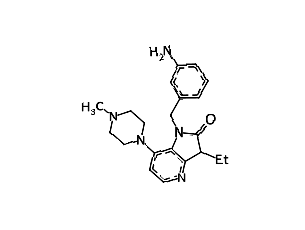 CCC1C(=O)N(Cc2cccc(N)c2)c2c(N3CCN(C)CC3)ccnc21